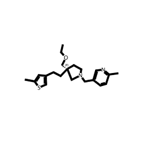 CCOC[C@]1(CCc2csc(C)c2)CCN(Cc2ccc(C)nc2)C1